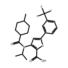 CC1CCC(C(=O)N(c2cc(-c3cccc(C(F)(F)F)c3)sc2C(=O)O)C(C)C)CC1